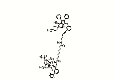 Cc1ncsc1-c1cccc([C@H](CC(=O)NCCCCCCCC(=O)NCCCCC#Cc2cccc(Cn3c(-c4ccccc4)c(-c4ccccc4)c4c(=N)n(C5CCC(O)CC5)cnc43)c2)NC(=O)[C@@H]2C[C@@H](O)CN2C(=O)C(NC(=O)C2(F)CC2)C(C)(C)C)c1